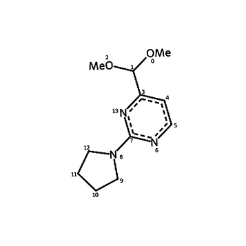 COC(OC)c1ccnc(N2CCCC2)n1